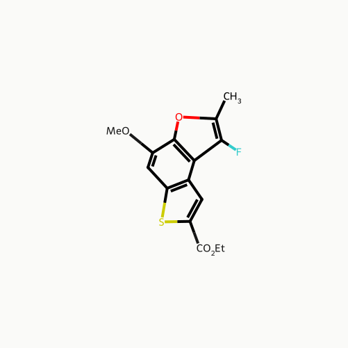 CCOC(=O)c1cc2c(cc(OC)c3oc(C)c(F)c32)s1